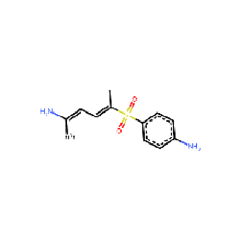 CCC/C(N)=C\C=C(/C)S(=O)(=O)c1ccc(N)cc1